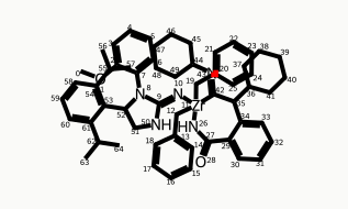 COc1ccccc1N1C(=[N][Zr]2([CH2]c3ccccc3)([CH2]c3ccccc3)[NH]C(=O)c3ccccc3C(C3CCCCC3)[C]2=NC2CCCCC2)NCC1c1c(C(C)C)cccc1C(C)C